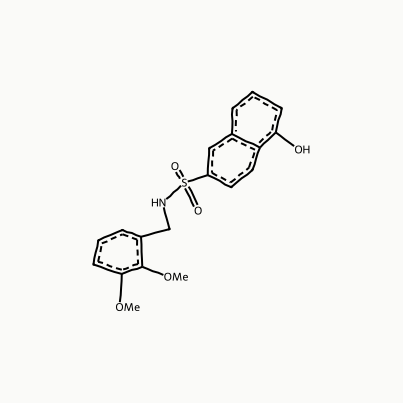 COc1cccc(CNS(=O)(=O)c2ccc3c(O)cccc3c2)c1OC